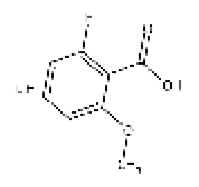 COc1cccc(F)c1C(=O)O.[LiH]